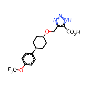 O=C(O)c1[nH]nnc1CO[C@H]1CC[C@H](c2ccc(OC(F)(F)F)cc2)CC1